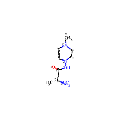 C[C@@H](N)C(=O)NN1CCN(C)CC1